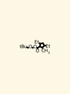 CCC1CC(CC)C(C(=O)OCOCC(C)(C)C)C1C